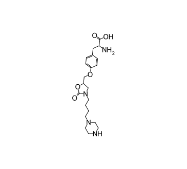 NC(Cc1ccc(OCC2CN(CCCCN3CCNCC3)C(=O)O2)cc1)C(=O)O